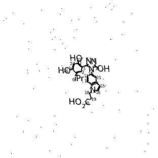 CC(C)c1cc(-c2nnc(O)n2-c2ccc3c(ccn3CCC(=O)O)c2)c(O)cc1O